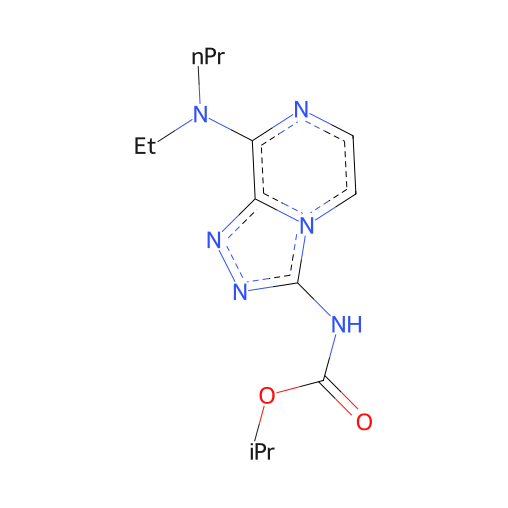 CCCN(CC)c1nccn2c(NC(=O)OC(C)C)nnc12